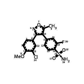 COc1ccc(-c2noc(C)c2-c2ccc(S(N)(=O)=O)c(F)c2)cc1Cl